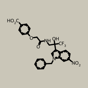 O=C(COc1ccc(C(=O)O)cc1)NCC(O)(c1cn(Cc2ccccc2)c2cc([N+](=O)[O-])ccc12)C(F)(F)F